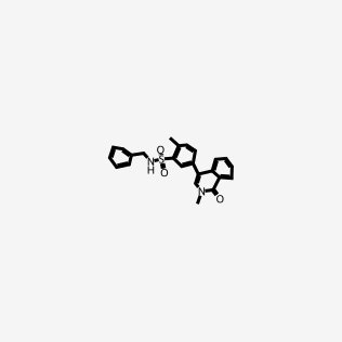 Cc1ccc(-c2cn(C)c(=O)c3ccccc23)cc1S(=O)(=O)NCc1ccccc1